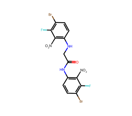 O=C(CNc1ccc(Br)c(F)c1[N+](=O)[O-])Nc1ccc(Br)c(F)c1[N+](=O)[O-]